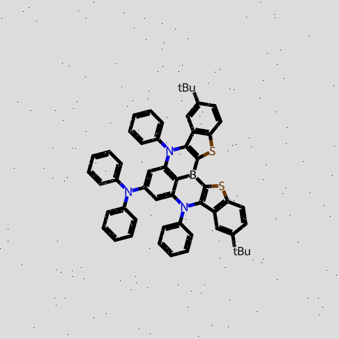 CC(C)(C)c1ccc2sc3c(c2c1)N(c1ccccc1)c1cc(N(c2ccccc2)c2ccccc2)cc2c1B3c1sc3ccc(C(C)(C)C)cc3c1N2c1ccccc1